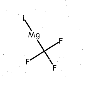 F[C](F)(F)[Mg][I]